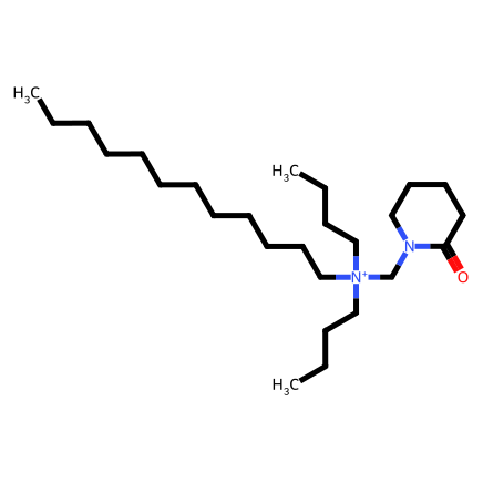 CCCCCCCCCCCC[N+](CCCC)(CCCC)CN1CCCCC1=O